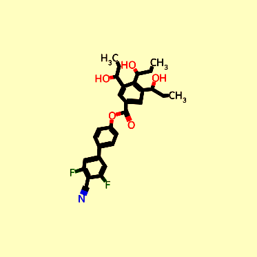 CCC(O)c1cc(C(=O)Oc2ccc(-c3cc(F)c(C#N)c(F)c3)cc2)cc(C(O)CC)c1C(O)CC